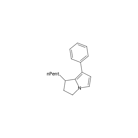 CCCCCC1CCn2ccc(-c3ccccc3)c21